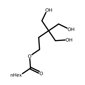 CCCCCCC(=O)OCCC(CO)(CO)CO